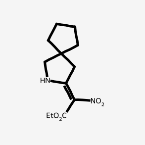 CCOC(=O)/C(=C1/CC2(CCCC2)CN1)[N+](=O)[O-]